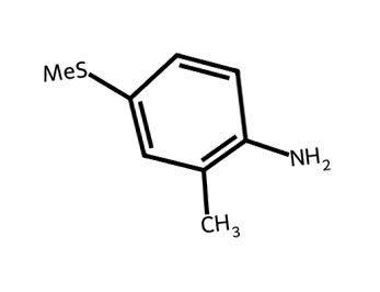 CSc1ccc(N)c(C)c1